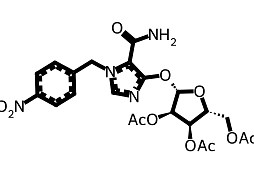 CC(=O)OC[C@H]1O[C@@H](Oc2ncn(Cc3ccc([N+](=O)[O-])cc3)c2C(N)=O)[C@H](OC(C)=O)[C@@H]1OC(C)=O